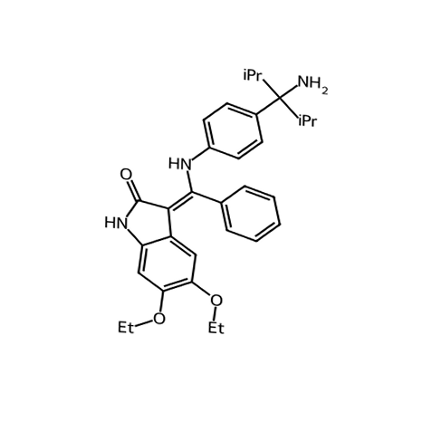 CCOc1cc2c(cc1OCC)/C(=C(/Nc1ccc(C(N)(C(C)C)C(C)C)cc1)c1ccccc1)C(=O)N2